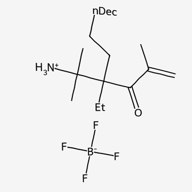 C=C(C)C(=O)C(CC)(CCCCCCCCCCCC)C(C)(C)[NH3+].F[B-](F)(F)F